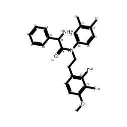 COc1ccc(CCN(C(=O)C(N)c2ccccc2)c2ccc(C)c(C)c2)c(F)c1F